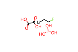 O=C(O)C(=O)O.OB(O)O.[Li][CH2]CF